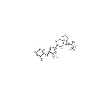 CCC(C)(C)[S@@+]([O-])N[C@@H]1CCCC12CCN(c1cnc(Sc3cccnc3Cl)c(N)n1)CC2